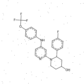 OC1CCN(c2cc(Nc3ccc(OC(F)(F)F)cc3)ccn2)C(c2ccc(F)cc2)C1